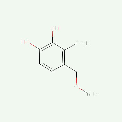 CCCCCCOCc1ccc(O)c(O)c1C(=O)O